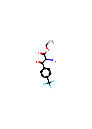 CCOC(=O)C(N)C(=O)c1ccc(C(F)(F)F)cc1